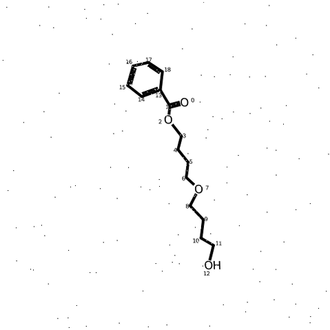 O=C(OCCCCOCCCCO)c1ccccc1